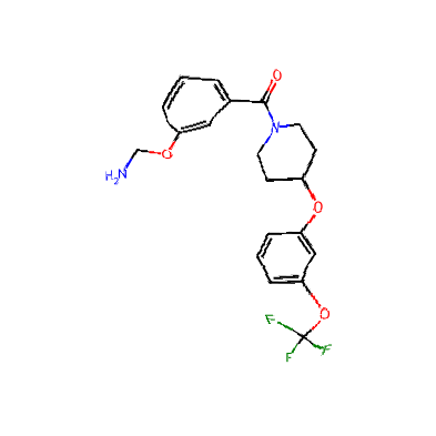 NCOc1cccc(C(=O)N2CCC(Oc3cccc(OC(F)(F)F)c3)CC2)c1